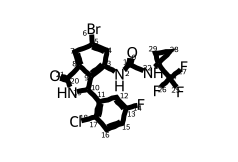 O=C(Nc1cc(Br)cc2c1C(c1cc(F)ccc1Cl)NC2=O)NC1(C(F)(F)F)CC1